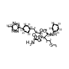 CSCCC(NC(=O)C(Cc1ccc(-c2nnc(C)nn2)cc1)OC(N)=O)C(=O)Nc1ccccc1